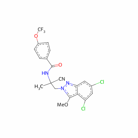 COc1c2c(Cl)cc(Cl)cc2nn1CC(C)(C#N)NC(=O)c1ccc(OC(F)(F)F)cc1